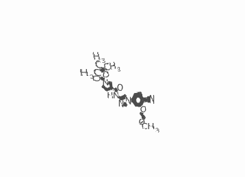 COCCOc1cc(-n2cnc(NC(=O)[C@H]3CCN(C(=O)OC(C)(C)C)C3)c2)ccc1C#N